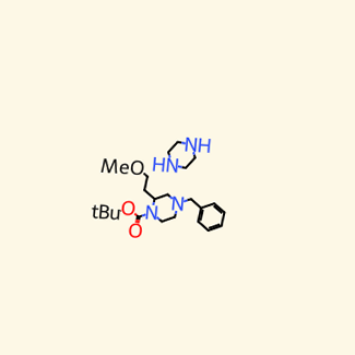 C1CNCCN1.COCCC1CN(Cc2ccccc2)CCN1C(=O)OC(C)(C)C